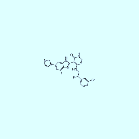 Cc1cc(-n2ccnc2)cc2[nH]c(-c3c(NCC(F)c4cccc(Br)c4)cc[nH]c3=O)nc12